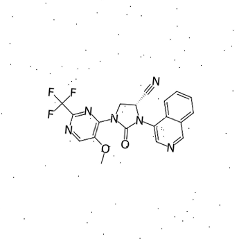 COc1cnc(C(F)(F)F)nc1N1C[C@H](C#N)N(c2cncc3ccccc23)C1=O